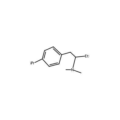 C[CH]C(Cc1ccc(C(C)C)cc1)N(C)C